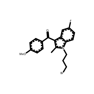 COc1ccc(C(=O)c2c(C)n(CCCBr)c3ccc(F)cc23)cc1